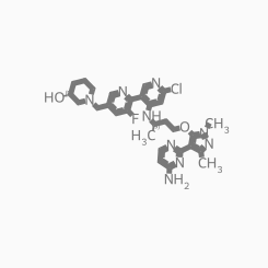 Cc1nn(C)c(OCC[C@H](C)Nc2cc(Cl)ncc2-c2ncc(CN3CCC[C@@H](O)C3)cc2F)c1-c1nccc(N)n1